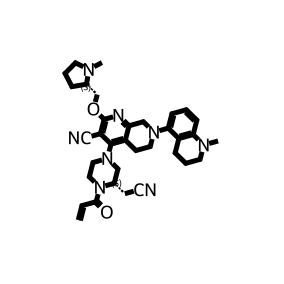 C=CC(=O)N1CCN(c2c(C#N)c(OC[C@@H]3CCCN3C)nc3c2CCN(c2cccc4c2CCCN4C)C3)C[C@@H]1CC#N